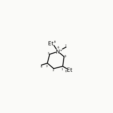 CCC1CC(C)C[N+](C)(CC)C1